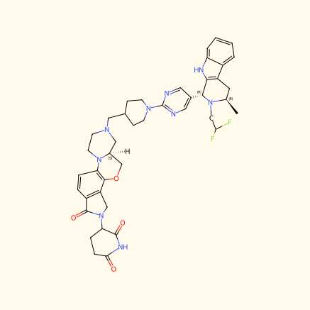 C[C@@H]1Cc2c([nH]c3ccccc23)[C@@H](c2cnc(N3CCC(CN4CCN5c6ccc7c(c6OC[C@@H]5C4)CN(C4CCC(=O)NC4=O)C7=O)CC3)nc2)N1CC(F)F